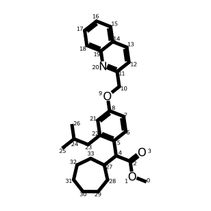 COC(=O)C(c1ccc(OCc2ccc3ccccc3n2)cc1CC(C)C)C1CCCCCC1